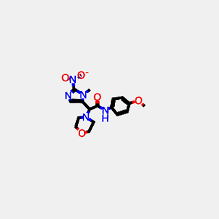 COc1ccc(NC(=O)C(c2cnc([N+](=O)[O-])n2C)N2CCOCC2)cc1